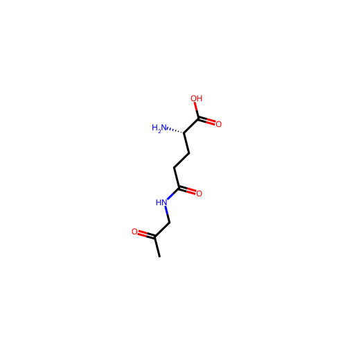 CC(=O)CNC(=O)CC[C@H](N)C(=O)O